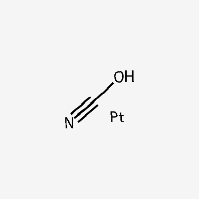 N#CO.[Pt]